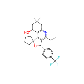 CC(C)c1nc2c(c3c1[C@H](c1ccc(C(F)(F)F)cc1)OC31CCCC1)[C@@H](O)CC(C)(C)C2